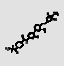 COc1cc(-n2ccc(NC(=O)N3CCN(C(=O)C(C)(C)N)CC3)nc2=O)ccc1CCN1C[C@@H]2C(N)[C@@H]2C1